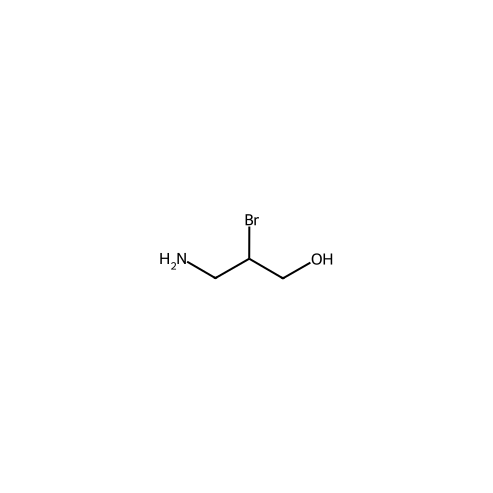 NCC(Br)CO